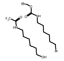 CC(C)(C)OC(=O)NCCCCCCBr.O=C(NCCCCCCO)C(F)(F)F